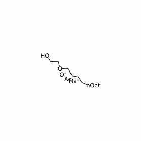 CC(=O)[O-].CCCCCCCCCCCCOCCO.[Na+]